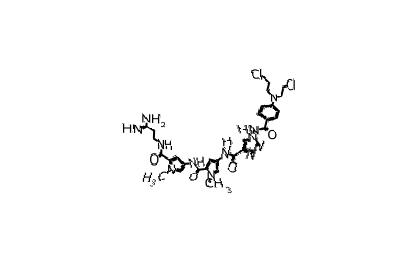 Cn1cc(NC(=O)c2cc(NC(=O)c3cn(NC(=O)c4ccc(N(CCCl)CCCl)cc4)nn3)cn2C)cc1C(=O)NCCC(=N)N